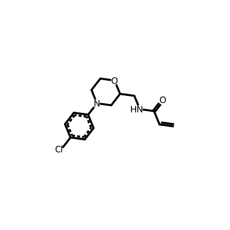 C=CC(=O)NCC1CN(c2ccc(Cl)cc2)CCO1